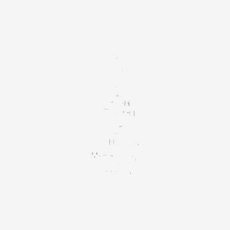 CO[C@H]1[C@H](O)[C@H](O[C@H]2CC[C@@]3(C)[C@H](CC[C@@H]4[C@@H]3CC[C@]3(C)[C@@H](C5=CC(=O)OC5)CC[C@]43O)C2)O[C@@H](C)[C@@H]1O